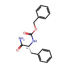 NC(=O)[C@@H](Cc1ccccc1)NC(=O)OCc1ccccc1